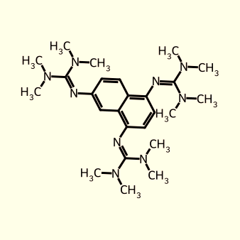 CN(C)C(=Nc1ccc2c(N=C(N(C)C)N(C)C)ccc(N=C(N(C)C)N(C)C)c2c1)N(C)C